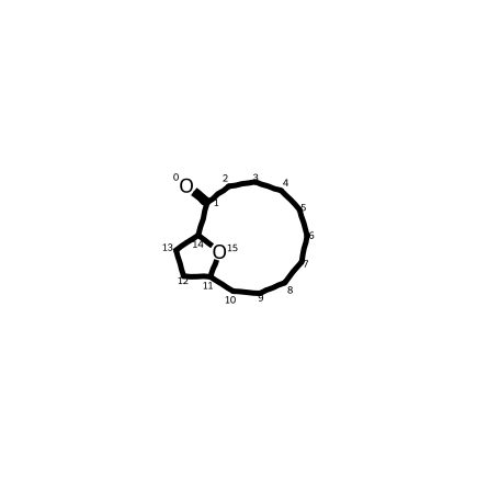 O=C1CCCCCCCCCC2CCC1O2